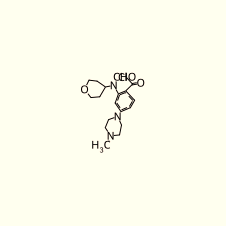 CN1CCN(c2ccc(C(=O)Cl)c(N(C=O)C3CCOCC3)c2)CC1